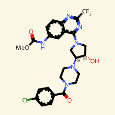 COC(=O)Nc1ccc2nc(C(F)(F)F)nc(N3C[C@H](O)[C@@H](N4CCN(C(=O)c5ccc(Cl)cc5)CC4)C3)c2c1